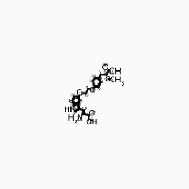 COC(Cc1ccc(OCCOc2ccc3[nH]cc(C[C@H](N)C(=O)O)c3c2)cc1)C(=O)O